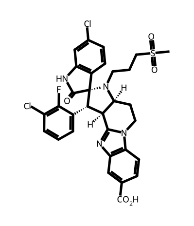 CS(=O)(=O)CCCN1[C@H]2CCn3c(nc4cc(C(=O)O)ccc43)[C@H]2[C@H](c2cccc(Cl)c2F)[C@]12C(=O)Nc1cc(Cl)ccc12